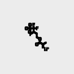 C=C(C)C(=O)OCCC(F)C(F)(F)S(=O)(=O)[O-].[Li+]